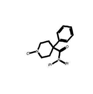 CC(C)N(C(=O)C1(c2ccccc2)CCN(Cl)CC1)C(C)C